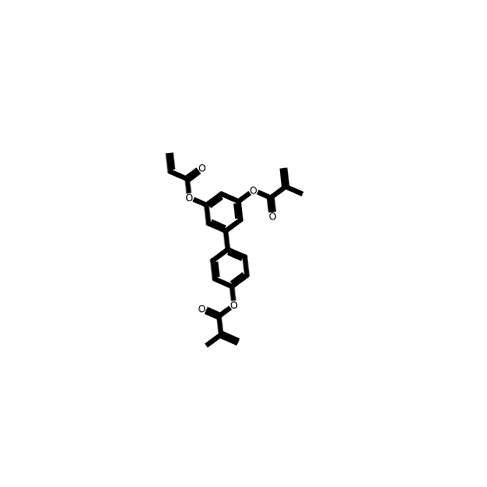 C=CC(=O)Oc1cc(OC(=O)C(=C)C)cc(-c2ccc(OC(=O)C(=C)C)cc2)c1